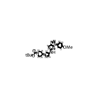 COc1ccc(-n2nnc3cnc(Nc4cnn(C5CCN(C(=O)OC(C)(C)C)CC5)c4)nc32)cc1